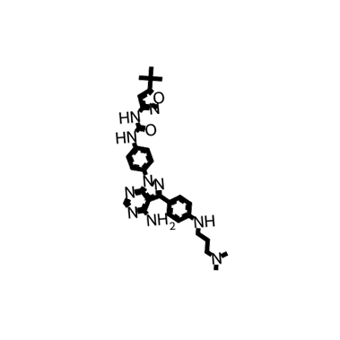 CN(C)CCCNc1ccc(-c2nn(-c3ccc(NC(=O)Nc4cc(C(C)(C)C)on4)cc3)c3ncnc(N)c23)cc1